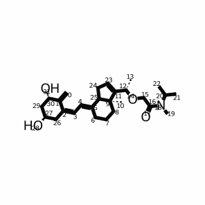 C=C1C(=CC=C2CCC[C@]3(C)C([C@H](C)OCC(=O)N(C)C(C)C)=CCC23)C[C@@H](O)C[C@@H]1O